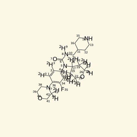 [2H]c1c([2H])c(N(C(=O)N([2H])CC2CCNCC2)C2([2H])C([2H])([2H])C([2H])([2H])OC([2H])([2H])C2([2H])[2H])c([2H])c(F)c1N1CCOCC1([2H])[2H]